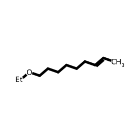 CC=CCCCCCCOCC